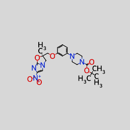 CC(C)(C)OC(=O)N1CCN(c2cccc(OC[C@@]3(C)Cn4cc([N+](=O)[O-])nc4O3)c2)CC1